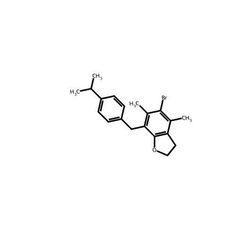 Cc1c(Br)c(C)c(Cc2ccc(C(C)C)cc2)c2c1CCO2